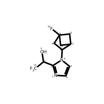 OC(c1nccn1C1CC2(F)CC1C2)C(F)(F)F